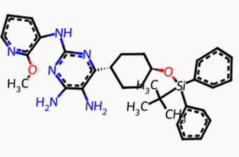 COc1ncccc1Nc1nc(N)c(N)c([C@H]2CC[C@H](O[Si](c3ccccc3)(c3ccccc3)C(C)(C)C)CC2)n1